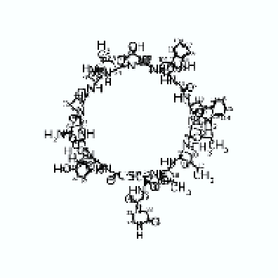 CCCC[C@H]1C(=O)N(C)[C@@H](CCCC)C(=O)N[C@@H](CC(C)C)C(=O)N[C@H](C(=O)NCC(=O)N2CCNC(=O)C2)CSCC(=O)N[C@@H](Cc2ccc(O)cc2)C(=O)N(C)[C@@H](C)C(=O)N[C@@H](CC(N)=O)C(=O)N2CCC[C@H]2C(=O)N[C@@H](CN)C(=O)N[C@@H](CC(C)C)C(=O)N2C[C@H](O)C[C@H]2C(=O)N[C@@H](Cc2c[nH]c3ccccc23)C(=O)NCC(=O)NC(Cc2c[nH]c3ccccc23)C(=O)N1C